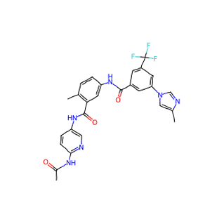 CC(=O)Nc1ccc(NC(=O)c2cc(NC(=O)c3cc(-n4cnc(C)c4)cc(C(F)(F)F)c3)ccc2C)cn1